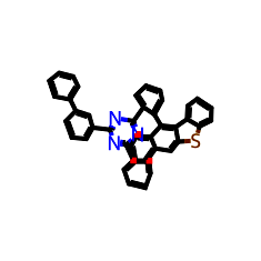 c1ccc(-c2cccc(-c3nc(-c4ccccc4)nc(-c4ccccc4-c4c5ccccc5cc5sc6ccccc6c45)n3)c2)cc1